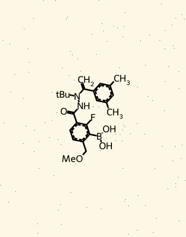 C=C(c1cc(C)cc(C)c1)N(NC(=O)c1ccc(COC)c(B(O)O)c1F)C(C)(C)C